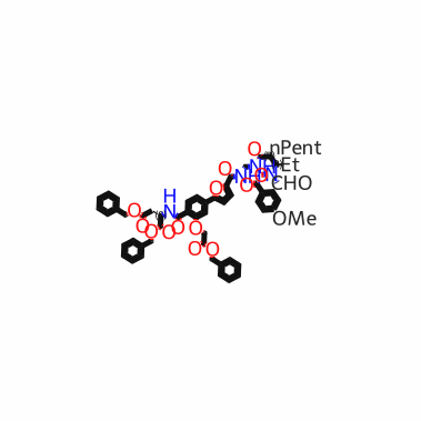 CCCCC[C@@H](C(=O)NCNC(=O)c1ccc(-c2ccc(C(=O)N[C@@H](CC(=O)OCc3ccccc3)C(=O)OCc3ccccc3)c(OCC(=O)OCc3ccccc3)c2)o1)[C@@H](CC)N(C=O)OC(=O)c1ccc(OC)cc1